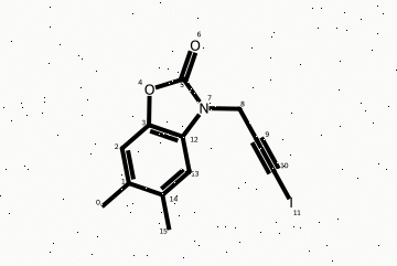 Cc1cc2oc(=O)n(CC#CI)c2cc1C